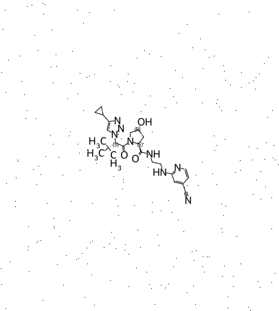 CC(C)(C)[C@@H](C(=O)N1C[C@H](O)C[C@H]1C(=O)NCCNc1cc(C#N)ccn1)n1cc(C2CC2)nn1